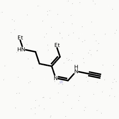 C#CN/C=N\C(=CCC)CCNCC